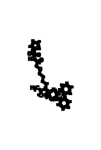 CC(C)N(CCCCOCC(=O)NS(=O)(=O)c1cccs1)c1cnc(-c2ccccc2)c(-c2ccccc2)n1